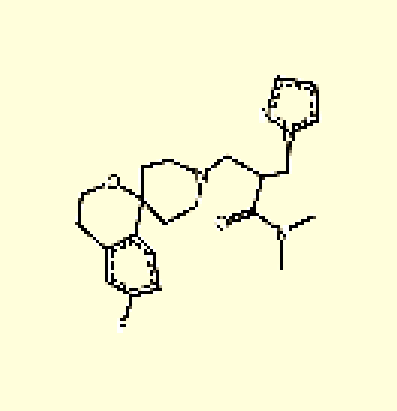 CN(C)C(=O)C(CN1CCC2(CC1)OCCc1cc(F)ccc12)Cn1cccn1